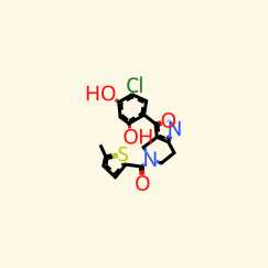 Cc1ccc(C(=O)N2CCc3noc(-c4cc(Cl)c(O)cc4O)c3C2)s1